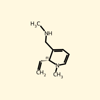 C=C[C@@H]1C(CNC)=CC=CN1C